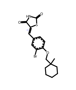 CC1(COc2ccc(/C=C3\SC(=O)NC3=O)cc2Br)CCCCC1